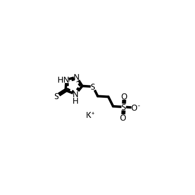 O=S(=O)([O-])CCCSc1n[nH]c(=S)[nH]1.[K+]